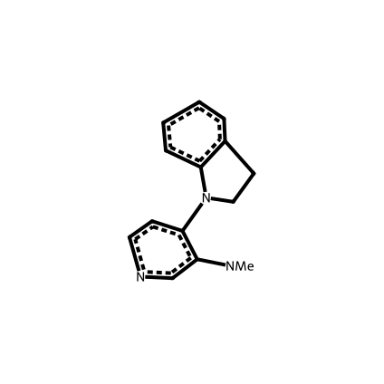 CNc1cnccc1N1CCc2ccccc21